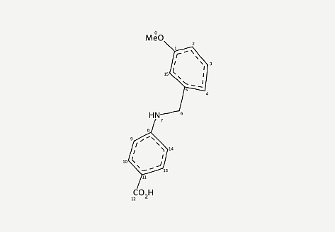 COc1cccc(CNc2ccc(C(=O)O)cc2)c1